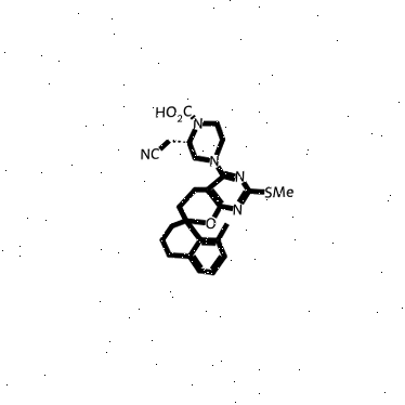 CSc1nc2c(c(N3CCN(C(=O)O)[C@@H](CC#N)C3)n1)CCC1(CCCc3cccc(C)c31)O2